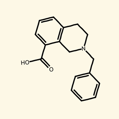 O=C(O)c1cccc2c1CN(Cc1ccccc1)CC2